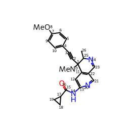 CNC1(C#Cc2ccc(OC)cc2)c2cc(NC(=O)C3CC3)ncc2C=NC1C